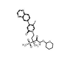 C[C@@](CCn1cc(F)c(-c2ccc3nccnc3c2)cc1=O)(C(=O)NOC1CCCCO1)S(C)(=O)=O